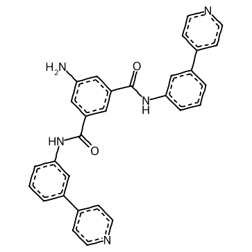 Nc1cc(C(=O)Nc2cccc(-c3ccncc3)c2)cc(C(=O)Nc2cccc(-c3ccncc3)c2)c1